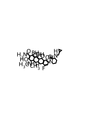 B=C1C(C(N)=O)=C(O)[C@@H](N(C)C)[C@@H]2C[C@@H]3Cc4c(F)cc(N5CCC[C@H](NCC6CC6)C5=O)c(O)c4C(=O)C3=C(O)[C@]12O